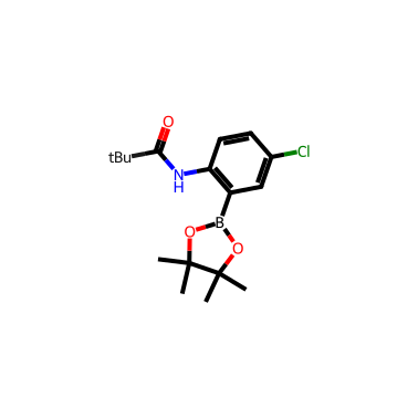 CC(C)(C)C(=O)Nc1ccc(Cl)cc1B1OC(C)(C)C(C)(C)O1